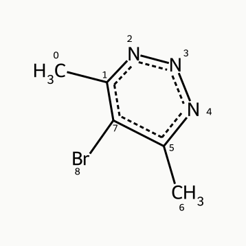 Cc1nnnc(C)c1Br